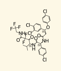 CC(C)[C@H](NC(=O)[C@@H](NC(=O)C[C@H](Oc1ccc(Cl)cc1)c1ccc(Cl)c(Cl)c1)c1ccc(Cl)cc1)C(=O)C(F)(F)C(=O)NCC(F)(F)F